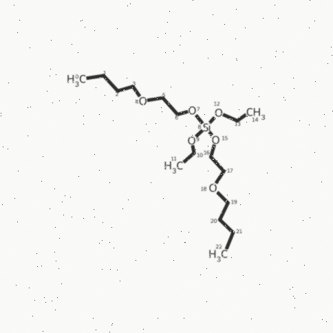 CCCCOCCO[Si](OCC)(OCC)OCCOCCCC